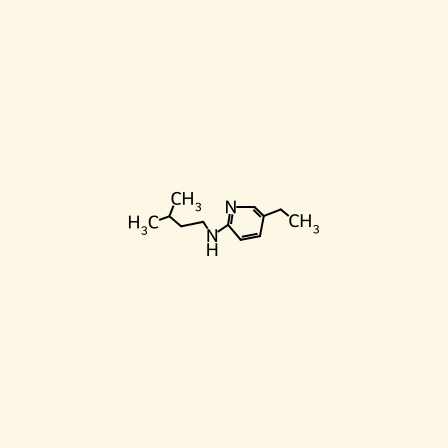 CCc1ccc(NCCC(C)C)nc1